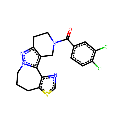 O=C(c1ccc(Cl)c(Cl)c1)N1CCc2nn3c(c2C1)-c1ncsc1CCC3